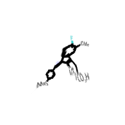 COc1cc2c(cc1F)/C(=C/c1ccc(SC)cc1)C(C)=C2CC(=O)O